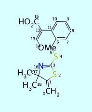 C=C1SC(SCc2ccccc2/C(=C\OC)C(=O)O)=NC1(C)C